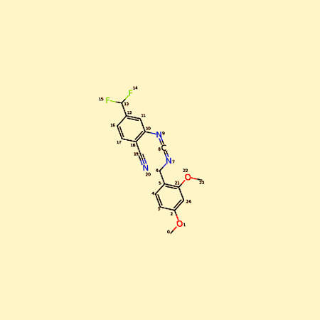 COc1ccc(CN=C=Nc2cc(C(F)F)ccc2C#N)c(OC)c1